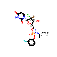 C[C@H](NP(=O)(OC[C@H]1O[C@@H](n2ccc(=O)[nH]c2=O)[C@](Cl)(Br)[C@@H]1O)Oc1cccc(F)c1)C(=O)O